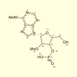 CNc1ncnc2c1ncn2[C@@H]1OC(CO)C(O[PH](=O)O)C1OC